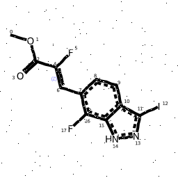 COC(=O)/C(F)=C/c1ccc2c(I)n[nH]c2c1F